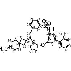 CC(C)C[C@@H]1COc2cc(-c3ccccc3C(C)C)nc(n2)NS(=O)(=O)c2cccc(c2)CC1C1CC2(CCN(C)CC2)C1